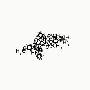 CCC(Oc1ccc(C(C)(C)CC)cc1C(C)(C)CC)C(=O)Nc1cc(C(=O)c2ccccc2)c2c(c1)C(=O)N(C(Cl)(C(=O)Nc1ccccc1)C(=O)c1ccc(OC)cc1)C2=O